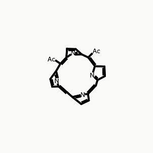 CC(=O)C1=C2C=CC(=N2)C=C2C=CC(=N2)C=C2C=CC(=N2)C(C(C)=O)=C2C=CC1=N2